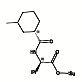 CC1CCC[C@H](C(=O)N[C@@H](C(=O)OC(C)(C)C)C(C)C)C1